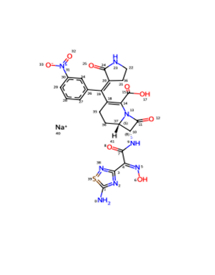 Nc1nc(C(=NO)C(=O)N[C@H]2C(=O)N3C(C(=O)O)=C(C(=C4CCNC4=O)c4cccc([N+](=O)[O-])c4)CC[C@@H]23)ns1.[Na+]